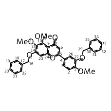 COc1ccc(-c2cc(=O)c3c(OC)c(OC)c(OCc4ccccc4)cc3o2)cc1OCc1ccccc1